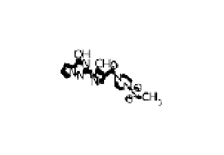 CCS(=O)(=O)N1CCN(C(=O)c2cnn(-c3nn4cccc4c(=O)[nH]3)c2C)CC1